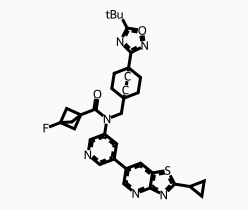 CC(C)(C)c1nc(C23CCC(CN(C(=O)C45CC(F)(C4)C5)c4cncc(-c5cnc6nc(C7CC7)sc6c5)c4)(CC2)CC3)no1